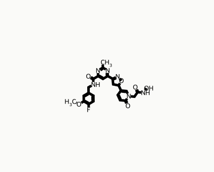 COc1cc(CNC(=O)c2cc(C3=NOC(c4ccc(=O)n(CC(=O)NO)c4)C3)nc(C)n2)ccc1F